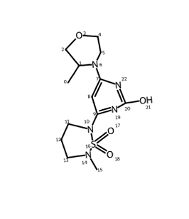 CC1COCCN1c1cc(N2CCCN(C)S2(=O)=O)nc(O)n1